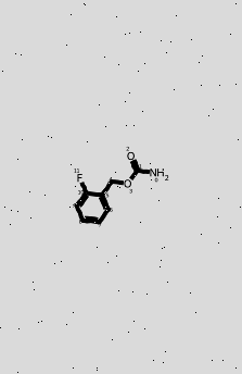 NC(=O)O[CH]c1ccccc1F